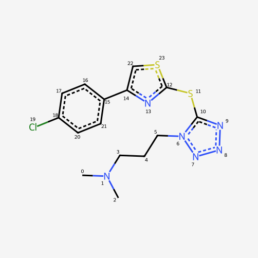 CN(C)CCCn1nnnc1Sc1nc(-c2ccc(Cl)cc2)cs1